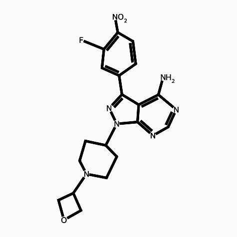 Nc1ncnc2c1c(-c1ccc([N+](=O)[O-])c(F)c1)nn2C1CCN(C2COC2)CC1